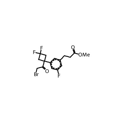 COC(=O)CCc1cc(F)cc(C2(C(=O)CBr)CC(F)(F)C2)c1